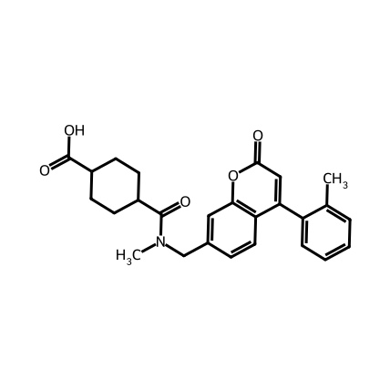 Cc1ccccc1-c1cc(=O)oc2cc(CN(C)C(=O)C3CCC(C(=O)O)CC3)ccc12